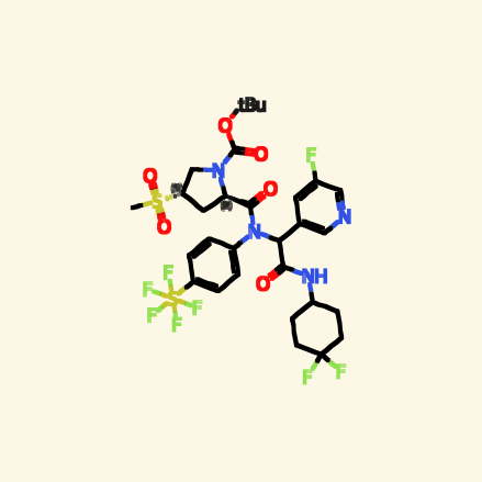 CC(C)(C)OC(=O)N1C[C@@H](S(C)(=O)=O)C[C@@H]1C(=O)N(c1ccc(S(F)(F)(F)(F)F)cc1)C(C(=O)NC1CCC(F)(F)CC1)c1cncc(F)c1